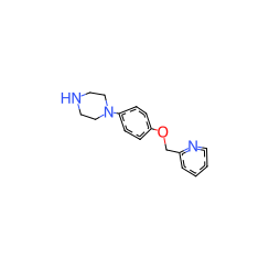 c1ccc(COc2ccc(N3CCNCC3)cc2)nc1